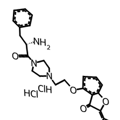 CC(C)=C1Oc2cccc(OCCN3CCN(C(=O)[C@@H](N)Cc4ccccc4)CC3)c2C1=O.Cl.Cl